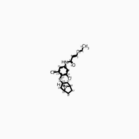 CCOC=CC(=O)Nc1cc(Cl)c(SC2CC3CCC(C2)N3C)c(Cl)c1